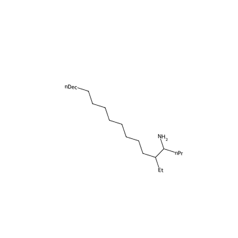 CCCCCCCCCCCCCCCCCCC(CC)C(N)CCC